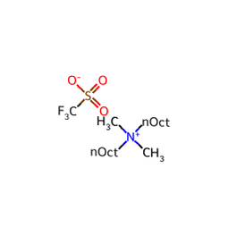 CCCCCCCC[N+](C)(C)CCCCCCCC.O=S(=O)([O-])C(F)(F)F